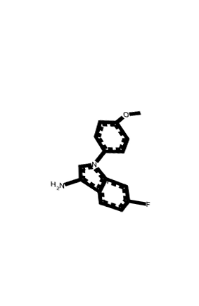 COc1ccc(-n2cc(N)c3ccc(F)cc32)cc1